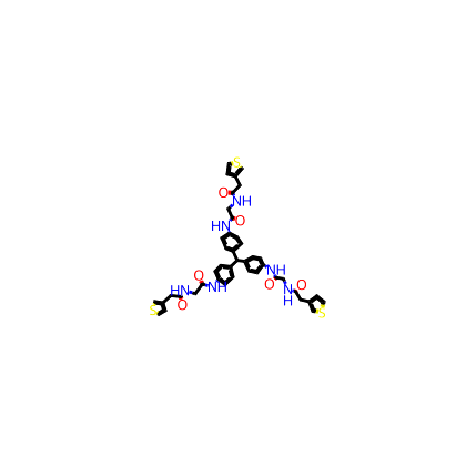 O=C(Cc1ccsc1)NCC(=O)Nc1ccc(C(c2ccc(NC(=O)CNC(=O)Cc3ccsc3)cc2)c2ccc(NC(=O)CNC(=O)Cc3ccsc3)cc2)cc1